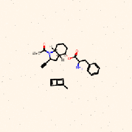 C#CC1C[C@H]2[C@@H](OC(=O)C(N)Cc3ccccc3)CCC[C@H]2N1C(=O)OC.Cc1cc2ccc1-2